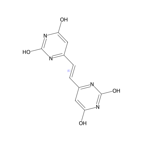 Oc1cc(/C=C/c2cc(O)nc(O)n2)nc(O)n1